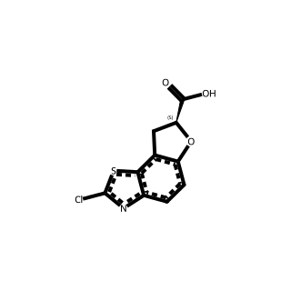 O=C(O)[C@@H]1Cc2c(ccc3nc(Cl)sc23)O1